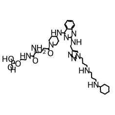 N[C@@H](CCC(=O)N1CCC(Nc2nc(NCc3cn(CCCNCCCNC4CCCCC4)nn3)nc3ccccc23)CC1)C(=O)NCCO[PH](=O)O